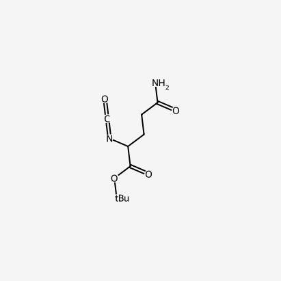 CC(C)(C)OC(=O)C(CCC(N)=O)N=C=O